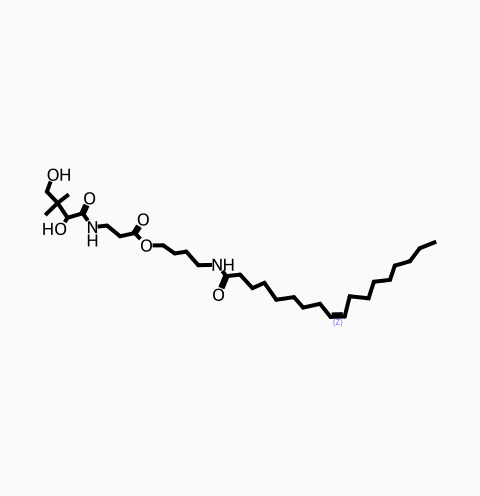 CCCCCCCC/C=C\CCCCCCCC(=O)NCCCCOC(=O)CCNC(=O)C(O)C(C)(C)CO